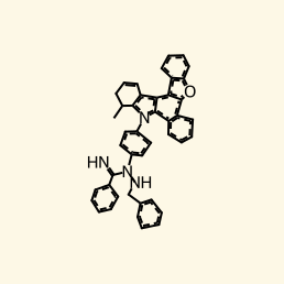 CC1CC=Cc2c1n(-c1ccc(N(NCc3ccccc3)C(=N)c3ccccc3)cc1)c1c3ccccc3c3oc4ccccc4c3c21